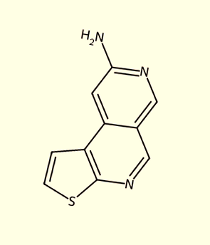 Nc1cc2c(cn1)cnc1sccc12